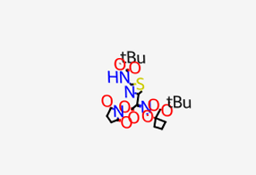 CC(C)(C)OC(=O)NC1=NC(/C(=N/OC2(C(=O)OC(C)(C)C)CCC2)C(=O)ON2C(=O)CCC2=O)CS1